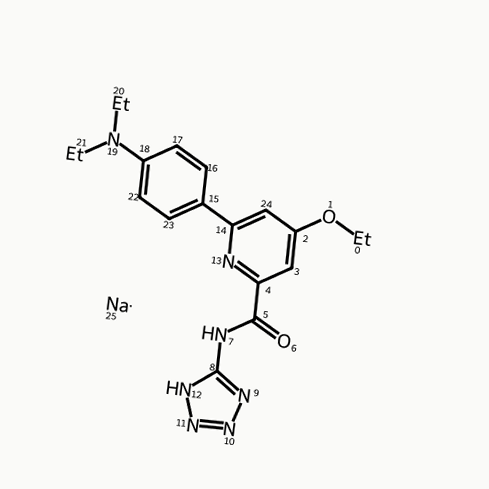 CCOc1cc(C(=O)Nc2nnn[nH]2)nc(-c2ccc(N(CC)CC)cc2)c1.[Na]